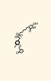 C[C@@H](NS(=O)(=O)CCCCCN1CC(O)NC1=O)c1ccc(F)c(OCN2CCCC2=O)c1